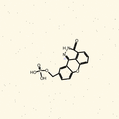 C/N=c1/c2cc(COP(=O)(O)O)ccc2oc2cccc(C(N)=O)c12